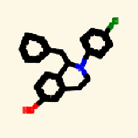 Oc1ccc2c(c1)CCN(c1ccc(Cl)cc1)C2Cc1ccccc1